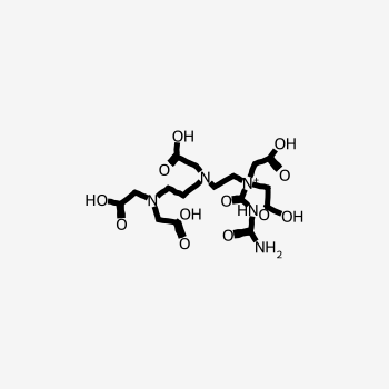 NC(=O)NC(=O)[N+](CCN(CCN(CC(=O)O)CC(=O)O)CC(=O)O)(CC(=O)O)CC(=O)O